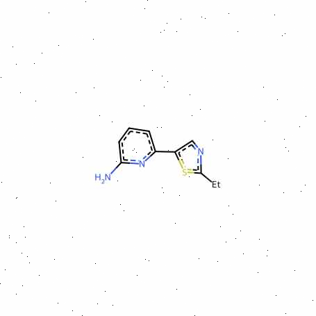 CCc1ncc(-c2cccc(N)n2)s1